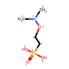 CN(C)OCCP(=O)(O)O